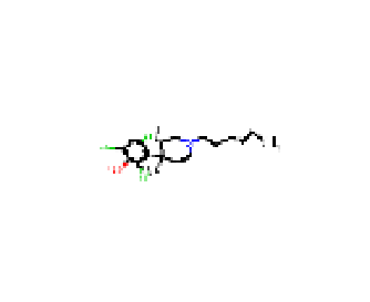 CCCCCCN1CCC(C)(c2c(Cl)cc(Cl)c(O)c2Cl)C(C)C1